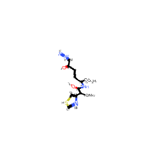 COC(C(=O)NC(CCC(=O)C=[N+]=[N-])C(=O)O)c1cscn1